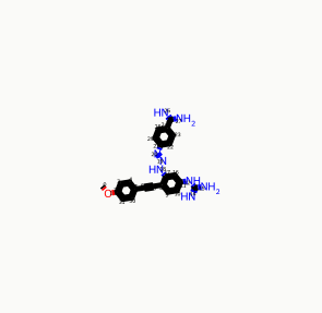 COc1ccc(C#Cc2ccc(NC(=N)N)cc2N/N=N/c2ccc(C(=N)N)cc2)cc1